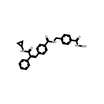 O=C(NC1CC1)C(=Cc1ccc(C(=O)NCc2ccc(C(=O)NO)cc2)cc1)c1ccccc1